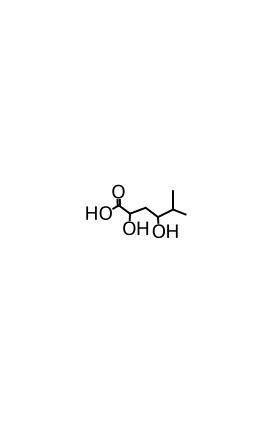 CC(C)C(O)CC(O)C(=O)O